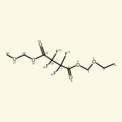 CCOCOC(=O)C(F)(F)C(F)(F)C(=O)OCOC